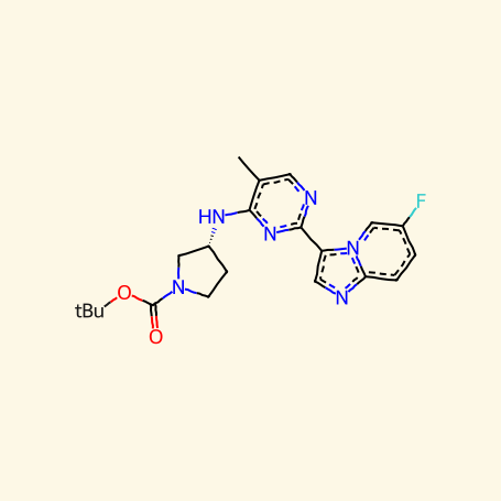 Cc1cnc(-c2cnc3ccc(F)cn23)nc1N[C@@H]1CCN(C(=O)OC(C)(C)C)C1